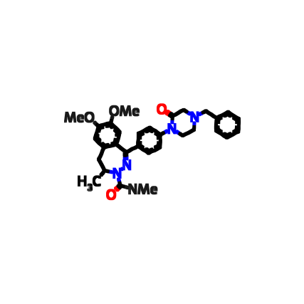 CNC(=O)N1N=C(c2ccc(N3CCN(Cc4ccccc4)CC3=O)cc2)c2cc(OC)c(OC)cc2CC1C